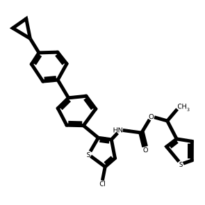 CC(OC(=O)Nc1cc(Cl)sc1-c1ccc(-c2ccc(C3CC3)cc2)cc1)c1ccsc1